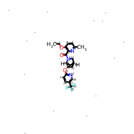 CCOc1ccc(C)nc1C(=O)N1C[C@H]2C[C@@H](Oc3ccc(C(F)(F)F)cn3)[C@@H]1C2